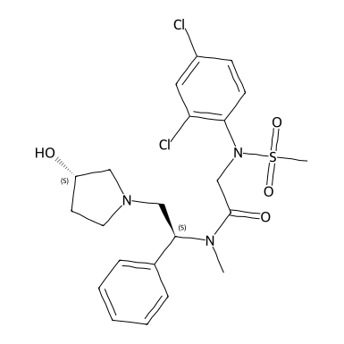 CN(C(=O)CN(c1ccc(Cl)cc1Cl)S(C)(=O)=O)[C@H](CN1CC[C@H](O)C1)c1ccccc1